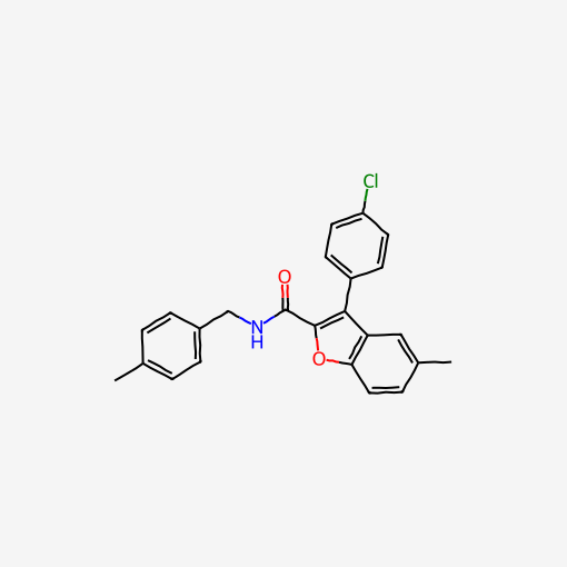 Cc1ccc(CNC(=O)c2oc3ccc(C)cc3c2-c2ccc(Cl)cc2)cc1